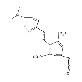 CN(C)c1ccc(N=Nc2c(S(=O)(=O)O)cc(N=C=O)cc2S(=O)(=O)O)cc1